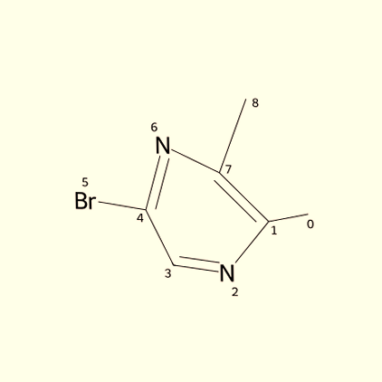 Cc1ncc(Br)nc1C